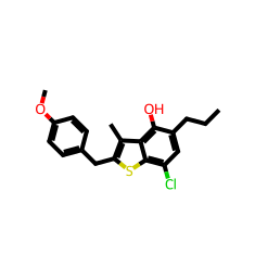 CCCc1cc(Cl)c2sc(Cc3ccc(OC)cc3)c(C)c2c1O